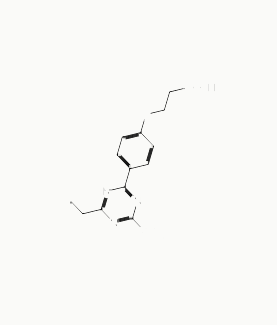 O=C(O)CCSc1ccc(-c2nc(CCl)nc(C(Cl)(Cl)Cl)n2)cc1